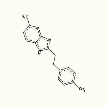 Cc1ccc(CCc2nc3cc(C)ccc3[nH]2)cc1